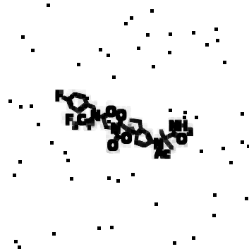 CC(=O)N(c1ccc2c(c1)CC[C@@]21OC(=O)N(CC(=O)N(Cc2ccc(F)cc2)[C@@H](C)C(F)(F)F)C1=O)C(C)(C)C(N)=O